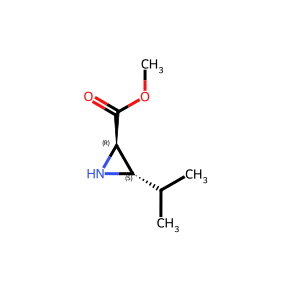 COC(=O)[C@@H]1N[C@H]1C(C)C